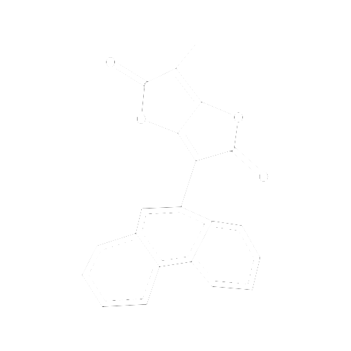 CC1=C2OC(=O)C(c3cc4ccccc4c4ccccc34)=C2OC1=O